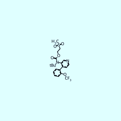 CC(C)(C)N(C(=O)OCCS(C)(=O)=O)c1cnccc1-c1ccccc1OC(F)(F)F